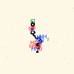 Nc1nc(CCCC2CCN(C(=O)Oc3ccc(Cl)cc3)CC2)nc2c1ncn2[C@@H]1O[C@H](C(=O)NC2CC2)C(O)[C@@H]1O